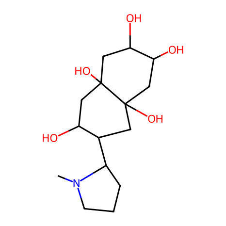 CN1CCCC1C1CC2(O)CC(O)C(O)CC2(O)CC1O